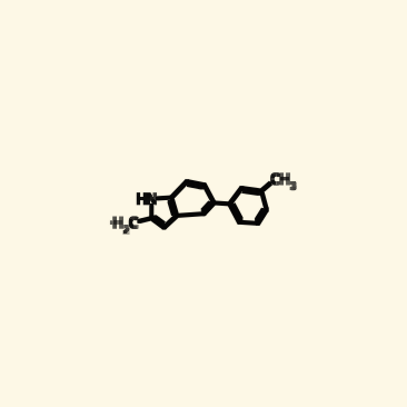 [CH2]c1cc2cc(-c3cccc(C)c3)ccc2[nH]1